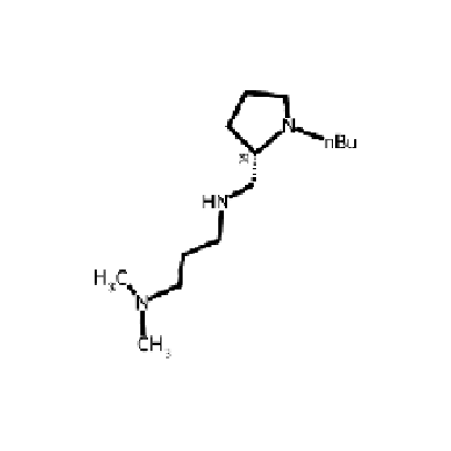 CCCCN1CCC[C@H]1CNCCCN(C)C